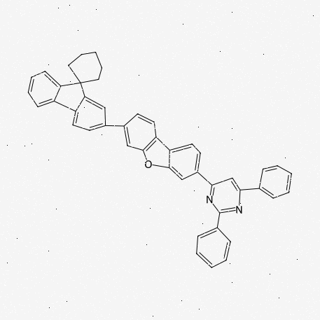 c1ccc(-c2cc(-c3ccc4c(c3)oc3cc(-c5ccc6c(c5)C5(CCCCC5)c5ccccc5-6)ccc34)nc(-c3ccccc3)n2)cc1